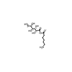 NCCCCCC(=O)OC(=O)[C@H](O)[C@@H](O)[C@H](O)[C@H](O)CO